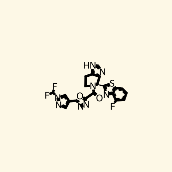 O=C(c1nnc(-c2cnn(C(F)F)c2)o1)N1CCc2[nH]cnc2[C@H]1c1nc2c(F)cccc2s1